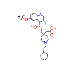 COc1ccc2ncc(F)c([C@H](O)CCC3(CC(=O)O)CCN(CCC4CCCCC4)CC3)c2c1